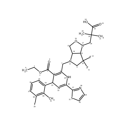 CCOC(=O)C1=C(CN2CC(F)(F)C3C2CON3CC(C)(C)C(=O)O)NC(c2nccs2)=NC1c1cccc(F)c1C